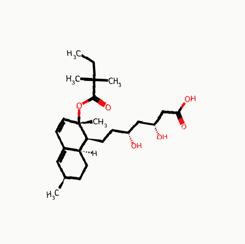 CCC(C)(C)C(=O)O[C@@]1(C)C=CC2=C[C@H](C)CC[C@@H]2[C@@H]1CC[C@@H](O)C[C@@H](O)CC(=O)O